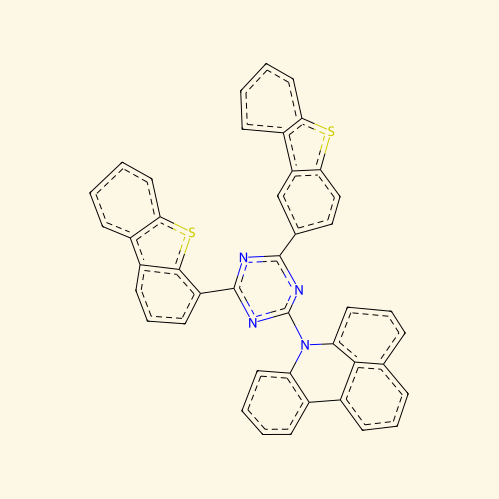 c1ccc2c(c1)-c1cccc3cccc(c13)N2c1nc(-c2ccc3sc4ccccc4c3c2)nc(-c2cccc3c2sc2ccccc23)n1